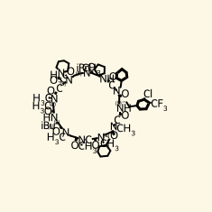 CC[C@H](C)[C@@H]1NC(=O)[C@H](C)N(C)C(=O)C[C@@H](C(=O)N2CCCCC2)N(C)C(=O)[C@H](C(C)C)N(C)C(=O)C2(CCCC2)NC(=O)CN(Cc2ccccc2)C(=O)[C@H](CCc2ccc(C(F)(F)F)c(Cl)c2)NC(=O)CN(C)C(=O)[C@H](CC2CCCCC2)N(C)C(=O)CN(C)C(=O)CN(C)C1=O